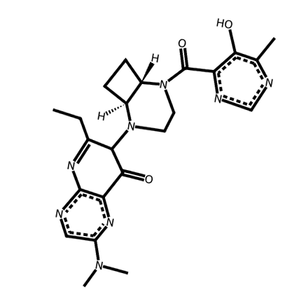 CCC1=Nc2ncc(N(C)C)nc2C(=O)C1N1CCN(C(=O)c2ncnc(C)c2O)[C@H]2CC[C@@H]21